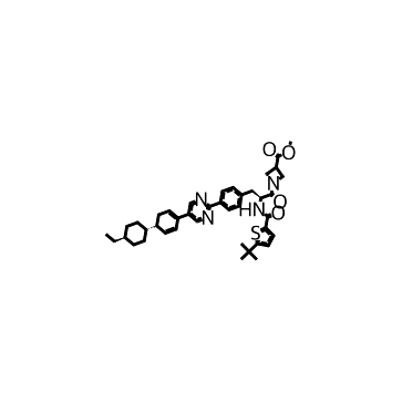 CC[C@H]1CC[C@H](C2C=CC(c3cnc(-c4ccc(C[C@H](NC(=O)c5ccc(C(C)(C)C)s5)C(=O)N5CC(C(=O)OC)C5)cc4)nc3)=CC2)CC1